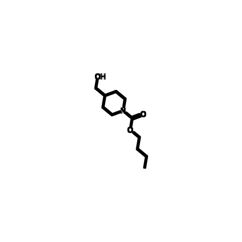 CCCCOC(=O)N1CCC(CO)CC1